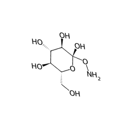 NO[C@]1(O)O[C@H](CO)[C@@H](O)[C@H](O)[C@H]1O